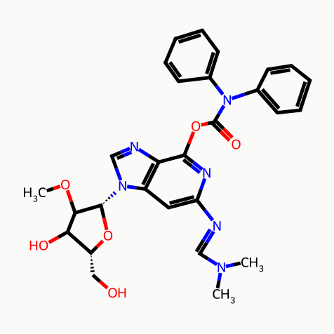 COC1C(O)[C@@H](CO)O[C@H]1n1cnc2c(OC(=O)N(c3ccccc3)c3ccccc3)nc(N=CN(C)C)cc21